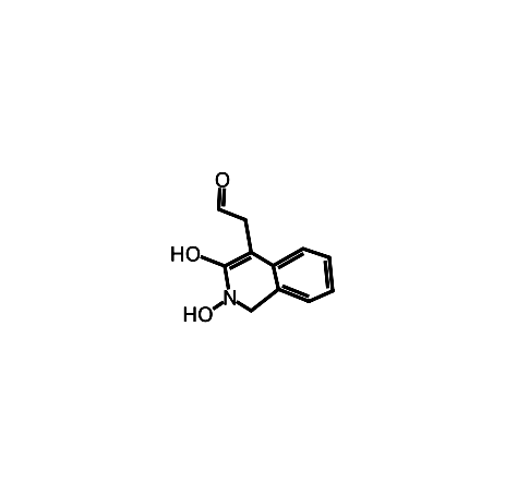 O=CCC1=C(O)N(O)Cc2ccccc21